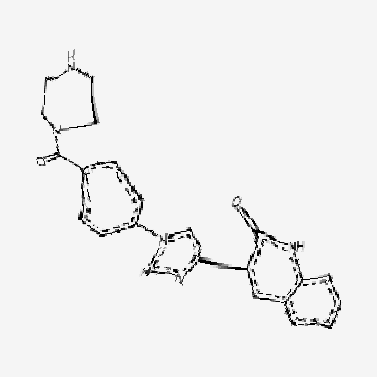 O=C(c1ccc(-n2cc(-c3cc4ccccc4[nH]c3=O)nn2)cc1)N1CCNCC1